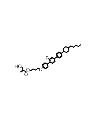 C=C(CO)C(=O)OCCCCOc1ccc(-c2ccc(-c3ccc(C4CCC(CCCCC)CC4)cc3)cc2F)cc1